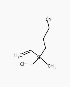 C=C[Si](C)(CCl)CCCC#N